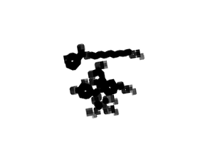 CC(=O)N(C)C.CCCCCCCCCCOC(=O)c1cccnc1.COc1ccc2c(c1)c(CC(=O)O)c(C)n2C(=O)c1ccc(Cl)cc1